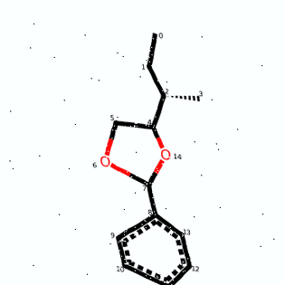 CC[C@H](C)C1COC(c2ccccc2)O1